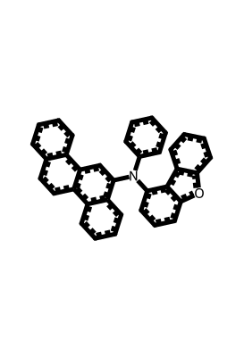 c1ccc(N(c2cc3c4ccccc4ccc3c3ccccc23)c2cccc3oc4ccccc4c23)cc1